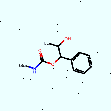 CC(O)C(OC(=O)NC(C)(C)C)c1ccccc1